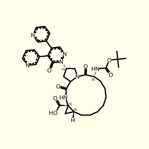 CC(C)(C)OC(=O)N[C@@H]1CCCCCCC[C@@H]2C[C@]2(C(=O)O)NC(=O)C2C[C@H](n3ncc(-c4cccnc4)c(-c4cccnc4)c3=O)CN2C1=O